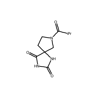 CC(C)C(=O)N1CCC2(C1)NC(=O)NC2=O